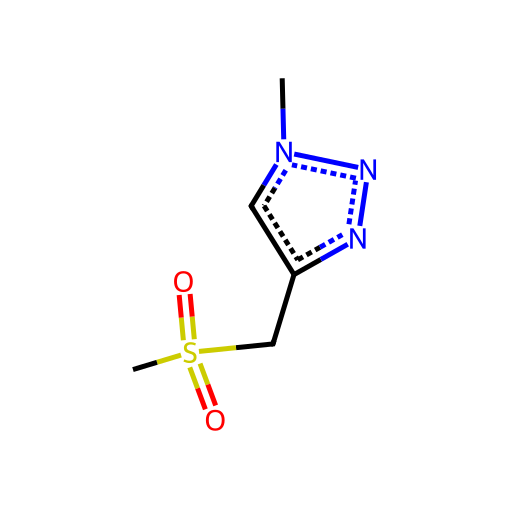 Cn1cc(CS(C)(=O)=O)nn1